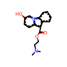 CN(C)CCOC(=O)c1c2ccccc2n2cc(O)ccc12